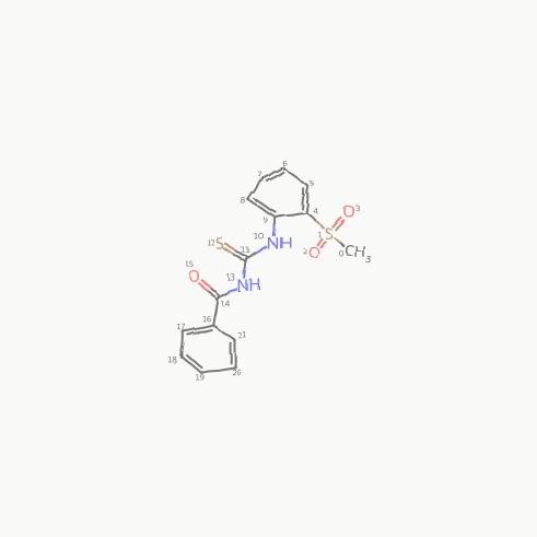 CS(=O)(=O)c1ccccc1NC(=S)NC(=O)c1ccccc1